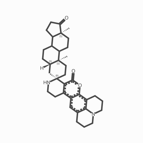 C[C@]12CCC3C(CC[C@H]4C[C@@]5(CC[C@]34C)NCCc3c5c(=O)oc4c5c6c(cc34)CCCN6CCC5)C1CCC2=O